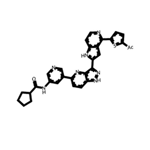 CC(=O)c1ccc(-c2nccc3[nH]c(-c4n[nH]c5ccc(-c6cncc(NC(=O)C7CCCC7)c6)nc45)cc23)s1